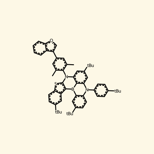 Cc1cc(-c2coc3ccccc23)cc(C)c1N1c2cc(C(C)(C)C)cc3c2B(c2cc(C(C)(C)C)ccc2N3c2ccc(C(C)(C)C)cc2)c2c1sc1ccc(C(C)(C)C)cc21